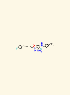 Nc1c(NC(=O)CCCCCCc2ccc(F)cc2)ccc(NCc2ccc(C(F)(F)F)cc2)c1F